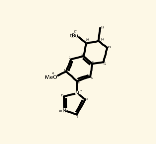 COc1cc2c(cc1-n1ccnc1)CCC(C)C2C(C)(C)C